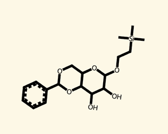 C[Si](C)(C)CCOC1OC2COC(c3ccccc3)OC2C(O)C1O